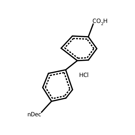 CCCCCCCCCCc1ccc(-c2ccc(C(=O)O)cc2)cc1.Cl